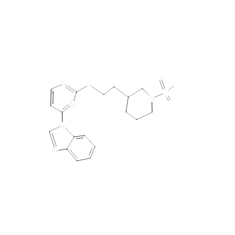 CS(=O)(=O)N1CCCC(CCNc2nccc(-n3cnc4ccccc43)n2)C1